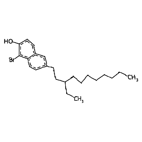 CCCCCCCCC(CC)CCc1ccc2c(Br)c(O)ccc2c1